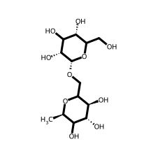 C[C@H]1OC(CO[C@H]2OC(CO)[C@@H](O)C(O)[C@H]2O)[C@@H](O)[C@H](O)C1O